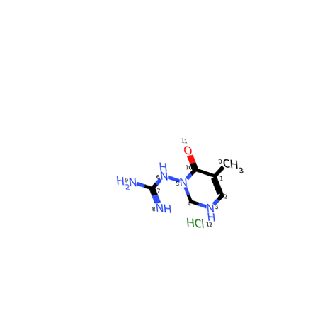 CC1=CNCN(NC(=N)N)C1=O.Cl